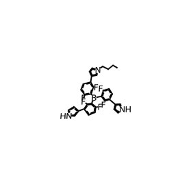 CCCCn1ccc(-c2ccc(F)c(B(c3c(F)ccc(-c4cc[nH]c4)c3F)c3c(F)ccc(-c4cc[nH]c4)c3F)c2F)c1